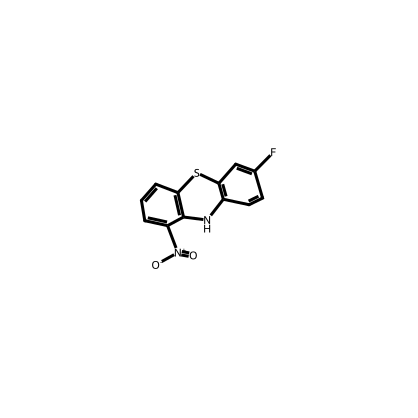 O=[N+]([O-])c1cccc2c1Nc1ccc(F)cc1S2